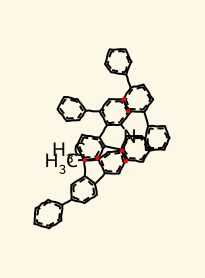 CC1(C)c2cc(-c3ccccc3)ccc2-c2ccc(N(c3ccccc3-c3ccc(-c4ccccc4)cc3)c3cccc(-c4ccccc4)c3-c3ccccc3-c3ccccc3)cc21